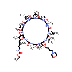 CCOC(=O)NCCCCC[C@@H](C)[C@H]1ON2C(=O)[C@H](C(C)C)N(C)C(=O)[C@H](CC(C)C)N(C)C(=O)[C@H](CC(C)C)N(C)C(=O)[C@@H](C)NC(=O)[C@H](C)NC(=O)[C@H](CC(C)C)N(C)C(=O)[C@H](C(C)C)NC(=O)[C@H]([C@@H](C)OCCCCN3CCOCC3)N(C)C(=O)[C@@H](C)N(C)C(=O)[C@H](CC)NC(=O)[C@H]12